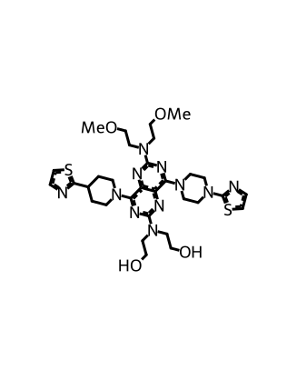 COCCN(CCOC)c1nc(N2CCN(c3nccs3)CC2)c2nc(N(CCO)CCO)nc(N3CCC(c4nccs4)CC3)c2n1